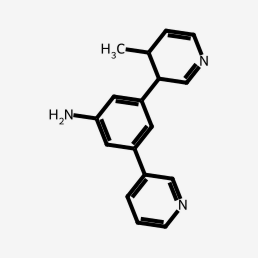 CC1C=CN=CC1c1cc(N)cc(-c2cccnc2)c1